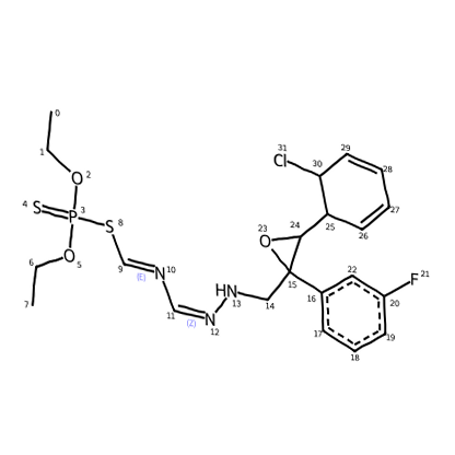 CCOP(=S)(OCC)S/C=N/C=N\NCC1(c2cccc(F)c2)OC1C1C=CC=CC1Cl